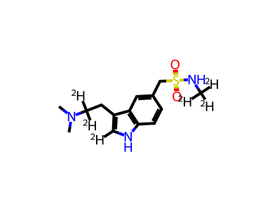 [2H]c1[nH]c2ccc(CS(=O)(=O)NC([2H])([2H])[2H])cc2c1CC([2H])([2H])N(C)C